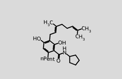 CCCCCc1cc(O)c(C/C=C(\C)CCC=C(C)C)c(O)c1C(=O)NC1CCCC1